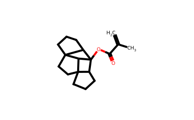 C=C(C)C(=O)OC12C3CCCC34CCC3(CCCC31)C42